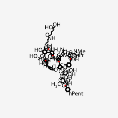 CCCCCc1ccc(CNC2(CC)C[C@H](O[C@@H]3C(O)C(O)[C@@H](CO)O[C@H]3Oc3c4cc5cc3Oc3ccc(cc3Cl)[C@@H](O)[C@@H](NC(=O)[C@@H](CC(C)C)NC)C(=O)NC(CC(N)=O)C(=O)N[C@H]5C(=O)N[C@@H]3C(=O)N[C@H](C(=O)N[C@H](C(=O)O)c5cc(O)c(CNCCCNC(=O)CCC[C@H](O)CO)c(O)c5-c5cc3ccc5O)[C@H](O)c3ccc(c(Cl)c3)O4)OC(C)[C@H]2O)cc1